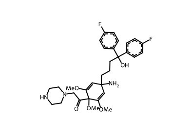 COC1=CC(N)(CCCC(O)(c2ccc(F)cc2)c2ccc(F)cc2)C=C(OC)C1(OC)C(=O)CN1CCNCC1